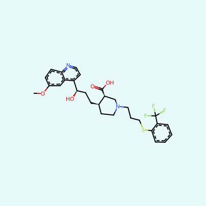 COc1ccc2nccc([C@H](O)CC[C@@H]3CCN(CCCSc4ccccc4C(F)(F)F)C[C@@H]3C(=O)O)c2c1